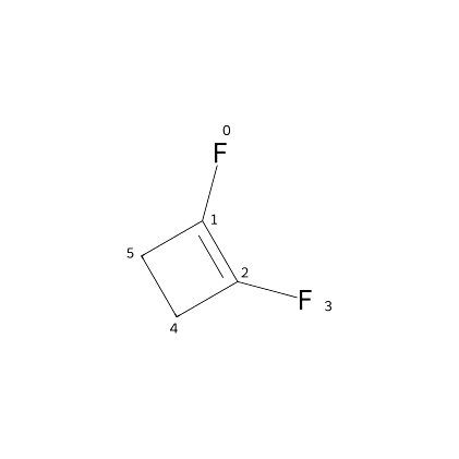 FC1=C(F)CC1